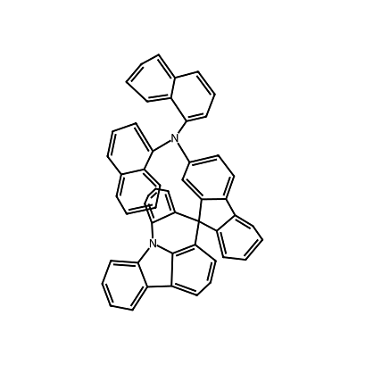 c1ccc2c(c1)-c1ccc(N(c3cccc4ccccc34)c3cccc4ccccc34)cc1C21c2ccccc2-n2c3ccccc3c3cccc1c32